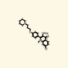 COc1c(-c2ccc(OCCCN3CCCCC3)cc2)n(C)c2cc(Cl)ccc2c1=O